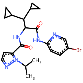 CC(C)n1nccc1C(=O)NC(C(=O)Nc1ccc(Br)cn1)C(C1CC1)C1CC1